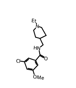 CCN1CCC(CNC(=O)c2cc(Cl)cc(OC)c2)CC1